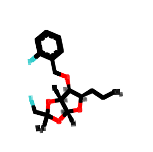 CCC[C@H]1O[C@@H]2OC(C)(CF)O[C@@H]2[C@H]1OCc1ccccc1F